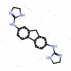 c1cc2c(cc1NC1=NCCN1)Cc1cc(NC3=NCCN3)ccc1-2